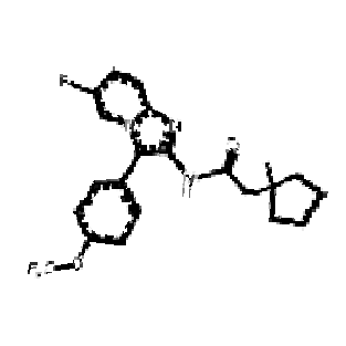 CC1(CC(=O)Nc2nc3ccc(F)cn3c2-c2ccc(OC(F)(F)F)cc2)CCCC1